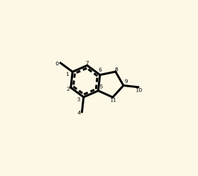 Cc1cc(C)c2c(c1)CC(C)C2